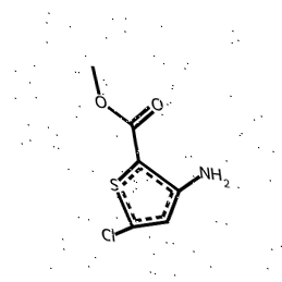 COC(=O)c1sc(Cl)cc1N